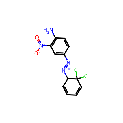 Nc1ccc(/N=N/C2C=CC=CC2(Cl)Cl)cc1[N+](=O)[O-]